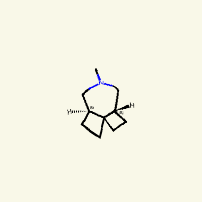 CN1C[C@@H]2CCC23CC[C@H]3C1